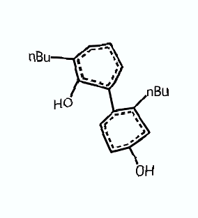 CCCCc1cc(O)ccc1-c1cccc(CCCC)c1O